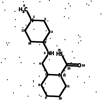 CN1CCC(NCC2CCCCN2C(=O)S)CC1